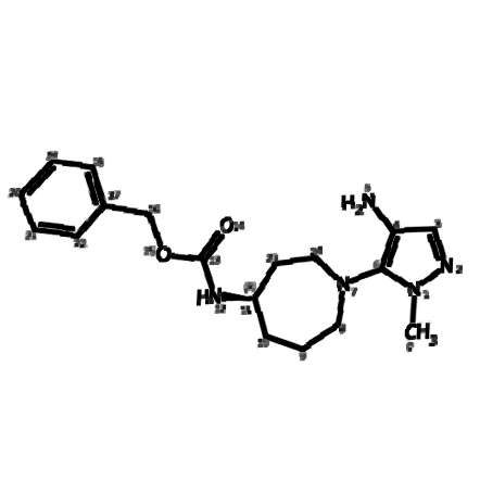 Cn1ncc(N)c1N1CCC[C@@H](NC(=O)OCc2ccccc2)CC1